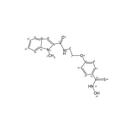 Cn1c(C(=O)NCCOc2ccc(C(=S)NO)cc2)cc2ccccc21